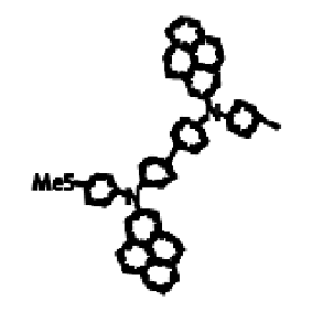 CSc1ccc(N(c2ccc(-c3ccc(N(c4ccc(C)cc4)c4cc5ccc6cccc7ccc(c4)c5c67)cc3)cc2)c2cc3ccc4cccc5ccc(c2)c3c45)cc1